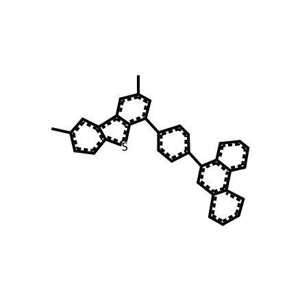 Cc1ccc2sc3c(-c4ccc(-c5cc6ccccc6c6ccccc56)cc4)cc(C)cc3c2c1